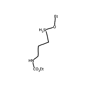 CCO[SiH2]CCCNC(=O)OCC